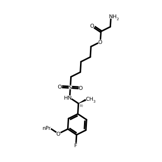 CCCOc1cc([C@H](C)NS(=O)(=O)CCCCCOC(=O)CN)ccc1F